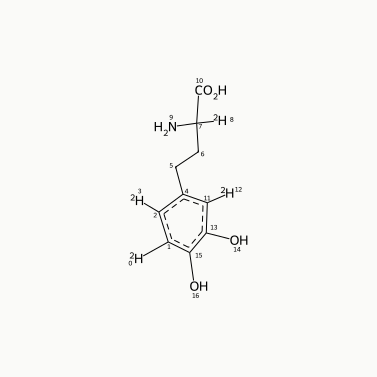 [2H]c1c([2H])c(CCC([2H])(N)C(=O)O)c([2H])c(O)c1O